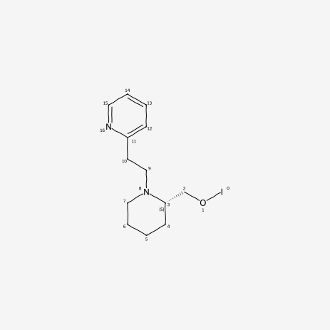 IOC[C@@H]1CCCCN1CCc1ccccn1